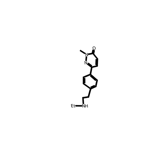 CCNCCc1ccc(-c2ccc(=O)n(C)n2)cc1